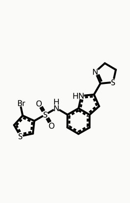 O=S(=O)(Nc1cccc2cc(C3=NCCS3)[nH]c12)c1cscc1Br